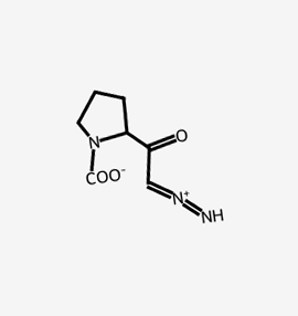 N=[N+]=CC(=O)C1CCCN1C(=O)[O-]